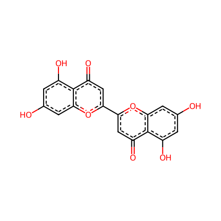 O=c1cc(-c2cc(=O)c3c(O)cc(O)cc3o2)oc2cc(O)cc(O)c12